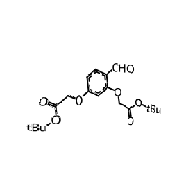 CC(C)(C)OC(=O)COc1ccc(C=O)c(OCC(=O)OC(C)(C)C)c1